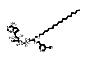 CCCCCCCCCCCCCCCCCCOC[C@H](COP(=O)(O)OC[C@@](C#N)(OC)[C@@H](O)[C@@H](O)c1ccc2c(N)ncnn12)OCc1cncc(C#N)c1